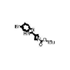 CC(C)(C)OC(=O)N1CC(c2nc3ccc(Br)cc3[nH]2)C1